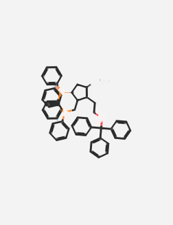 COC1C[C@H](P(c2ccccc2)c2ccccc2)C(CP(c2ccccc2)c2ccccc2)C1CCOC(c1ccccc1)(c1ccccc1)c1ccccc1